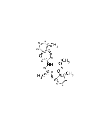 COCOc1c(C)cccc1SC[C@H](C)CNC1COc2cccc(C)c2SC1